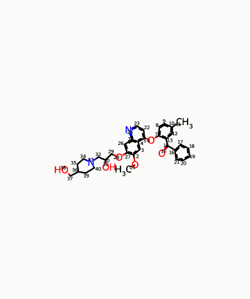 COc1cc2c(Oc3ccc(C)cc3C(=O)c3ccccc3)ccnc2cc1OCC(O)CN1CCC(CO)CC1